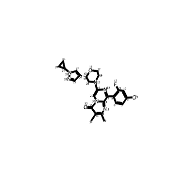 Cc1nc2c(-c3ccc(Cl)cc3F)nc(N3CCO[C@@H](c4cnn(C5CC5)c4)C3)cn2c(=O)c1C